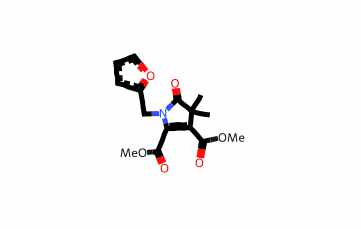 COC(=O)C1=C(C(=O)OC)C(C)(C)C(=O)N1Cc1ccco1